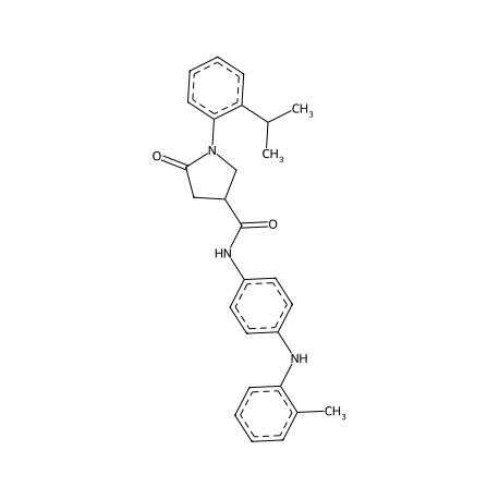 Cc1ccccc1Nc1ccc(NC(=O)C2CC(=O)N(c3ccccc3C(C)C)C2)cc1